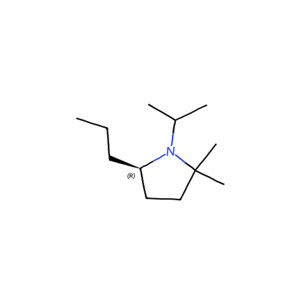 CCC[C@@H]1CCC(C)(C)N1C(C)C